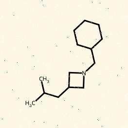 CC(C)CC1CN(CC2CCCCC2)C1